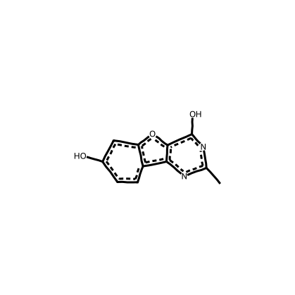 Cc1nc(O)c2oc3cc(O)ccc3c2n1